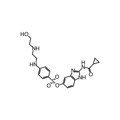 O=C(Nc1nc2cc(OS(=O)(=O)c3ccc(NCCNCCO)cc3)ccc2[nH]1)C1CC1